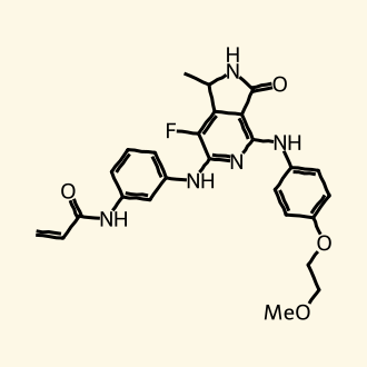 C=CC(=O)Nc1cccc(Nc2nc(Nc3ccc(OCCOC)cc3)c3c(c2F)C(C)NC3=O)c1